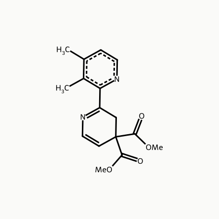 COC(=O)C1(C(=O)OC)C=CN=C(c2nccc(C)c2C)C1